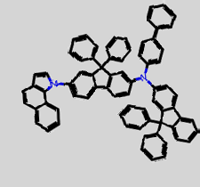 c1ccc(-c2ccc(N(c3ccc4c(c3)C(c3ccccc3)(c3ccccc3)c3ccccc3-4)c3ccc4c(c3)C(c3ccccc3)(c3ccccc3)c3cc(-n5ccc6ccc7ccccc7c65)ccc3-4)cc2)cc1